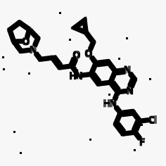 O=C(/C=C/CN1CC2CCC(C1)O2)Nc1cc2c(Nc3ccc(F)c(Cl)c3)ncnc2cc1OCC1CC1